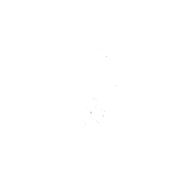 O[C@@H]1[C@H](O)[C@@H](CSc2ccccc2F)O[C@H]1n1cnc2c(/N=C3\CCC[C@H]3O)ncnc21